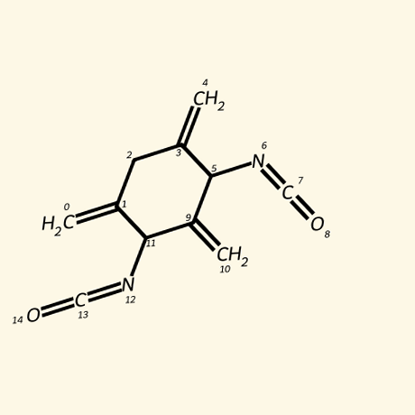 C=C1CC(=C)C(N=C=O)C(=C)C1N=C=O